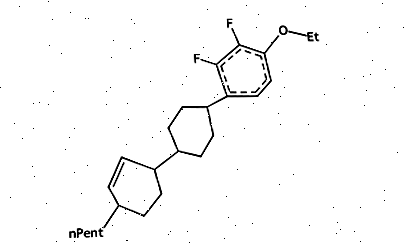 CCCCCC1C=CC(C2CCC(c3ccc(OCC)c(F)c3F)CC2)CC1